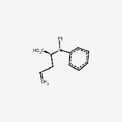 C=CC[C@@H](C(=O)O)N(CC)c1ccccc1